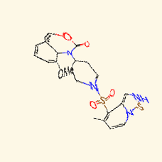 COC1=CC=CC2=COC(=O)N(C3CCN(S(=O)(=O)C4=C(C)C=CN5SNC=C45)CC3)C21